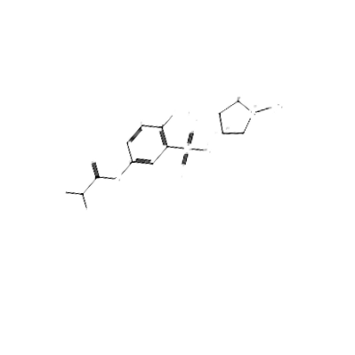 CCC(CC)C(=O)Nc1ccc(C)c(S(=O)(=O)N[C@@H]2CCN(C#N)C2)c1